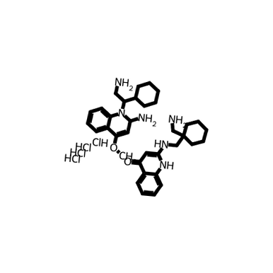 COC1=CC(N)N(C(CN)C2CCCCC2)c2ccccc21.Cl.Cl.Cl.Cl.NCC1(CNc2cc(=O)c3ccccc3[nH]2)CCCCC1